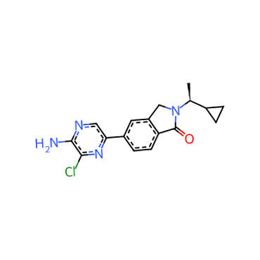 C[C@@H](C1CC1)N1Cc2cc(-c3cnc(N)c(Cl)n3)ccc2C1=O